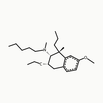 CCCCCN(C)[C@H]1[C@@H](CCC)Cc2ccc(OC)cc2[C@@]1(C)CCC